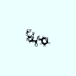 CN(C(=O)c1cnc(SC(F)(F)F)n1C)c1cccnc1